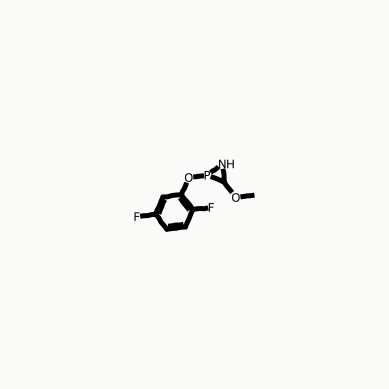 COC1NP1Oc1cc(F)ccc1F